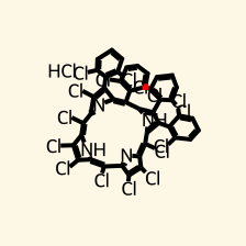 Cl.ClC1=C(Cl)c2nc1c(Cl)c1[nH]c(c(Cl)c3nc(c(-c4c(Cl)cccc4Cl)c4[nH]c(c2Cl)c(-c2c(Cl)cccc2Cl)c4-c2c(Cl)cccc2Cl)C(c2c(Cl)cccc2Cl)=C3Cl)c(Cl)c1Cl